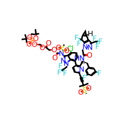 CC(C)(C)OP(=O)(OCOC(=O)COC(=O)N(c1nn(CC(F)(F)F)c2c(-c3ccc(C#CC(C)(C)S(C)(=O)=O)nc3[C@H](Cc3cc(F)cc(F)c3)NC(=O)Cn3nc(C(F)(F)F)c4c3C(F)(F)C3C[C@H]43)ccc(Cl)c12)S(C)(=O)=O)OC(C)(C)C